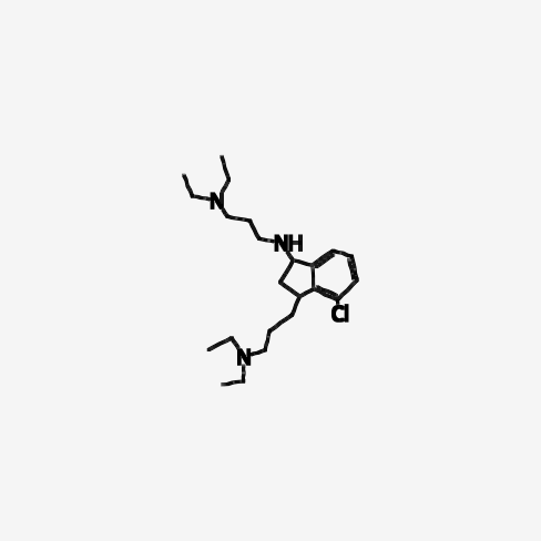 CCN(CC)CCCNC1CC(CCCN(CC)CC)c2c(Cl)cccc21